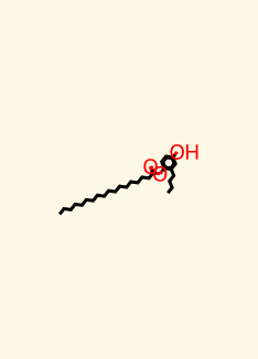 CCCCCCCCCCCCCCCCCC(=O)Oc1ccc(O)cc1CCCC